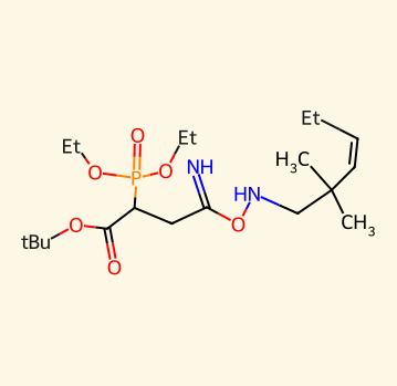 CC/C=C\C(C)(C)CNOC(=N)CC(C(=O)OC(C)(C)C)P(=O)(OCC)OCC